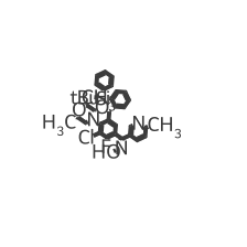 Cc1ccc(C(=NO)c2cc(CO[Si](c3ccccc3)(c3ccccc3)C(C)(C)C)c(N3C[C@@H](C)O[C@@H](C)C3)c(Cl)c2F)cn1